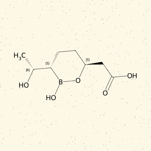 C[C@@H](O)[C@@H]1CC[C@@H](CC(=O)O)OB1O